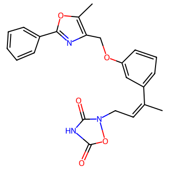 C/C(=C/Cn1oc(=O)[nH]c1=O)c1cccc(OCc2nc(-c3ccccc3)oc2C)c1